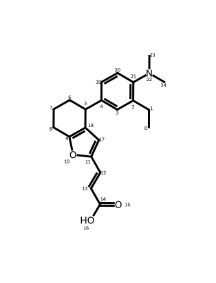 CCc1cc(C2CCCc3oc(/C=C/C(=O)O)cc32)ccc1N(C)C